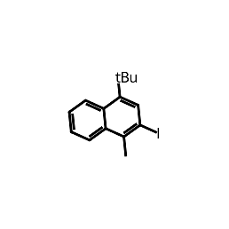 Cc1c(I)cc(C(C)(C)C)c2ccccc12